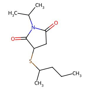 CCCC(C)SC1CC(=O)N(C(C)C)C1=O